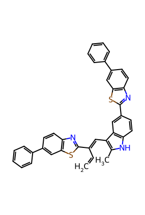 C=C/C(=C\c1c(C)[nH]c2ccc(-c3nc4ccc(-c5ccccc5)cc4s3)cc12)c1nc2ccc(-c3ccccc3)cc2s1